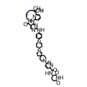 C[C@@]1(O)CC/C=C\Cn2c(=O)c3cnc(Nc4ccc(N5CCC(N6CCC7(CCN(c8ccc(C(=O)NC9CCC(=O)NC9=O)nn8)CC7)C6)CC5)cc4)nc3n2-c2cccc1n2